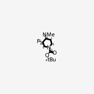 CN[C@@H]1CCN(C(=O)OC(C)(C)C)C[C@@H]1F